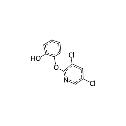 Oc1ccccc1Oc1ncc(Cl)cc1Cl